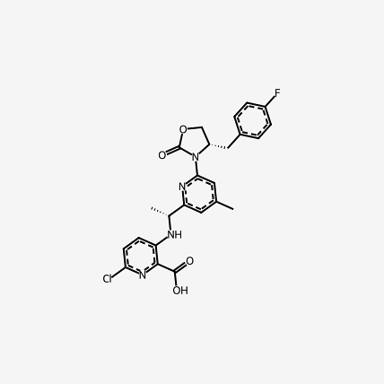 Cc1cc([C@@H](C)Nc2ccc(Cl)nc2C(=O)O)nc(N2C(=O)OC[C@@H]2Cc2ccc(F)cc2)c1